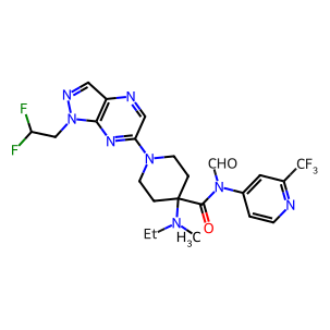 CCN(C)C1(C(=O)N(C=O)c2ccnc(C(F)(F)F)c2)CCN(c2cnc3cnn(CC(F)F)c3n2)CC1